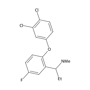 CCC(NC)c1cc(F)ccc1Oc1ccc(Cl)c(Cl)c1